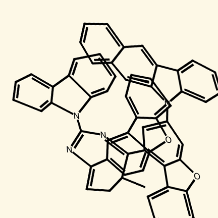 CC1C/C=C(c2ccc3oc4ccccc4c3c2)/N=C(n2c3ccccc3c3ccccc32)\N=C/1c1cc(-n2c3ccccc3c3cc4ccccc4cc32)cc2oc3ccccc3c12